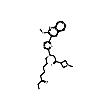 CCC(=O)CCCCC[C@H](CC(=O)C1CN(C)C1)c1ncc(-c2cc3ccccc3nc2OC)o1